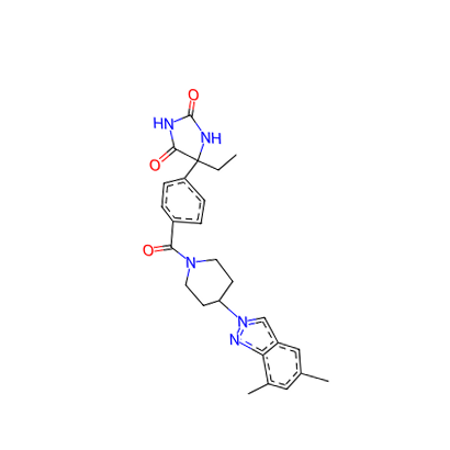 CCC1(c2ccc(C(=O)N3CCC(n4cc5cc(C)cc(C)c5n4)CC3)cc2)NC(=O)NC1=O